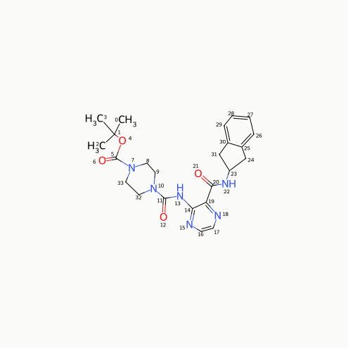 CC(C)(C)OC(=O)N1CCN(C(=O)Nc2nccnc2C(=O)NC2Cc3ccccc3C2)CC1